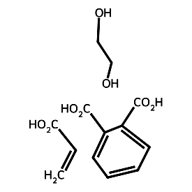 C=CC(=O)O.O=C(O)c1ccccc1C(=O)O.OCCO